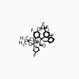 COc1cc([C@@](Cc2ccccc2)(NC(=O)[C@@H]2C[C@@H](F)CN2C(=O)OC(C)(C)C)c2cc(F)cc(C(F)(F)F)c2)ccc1F